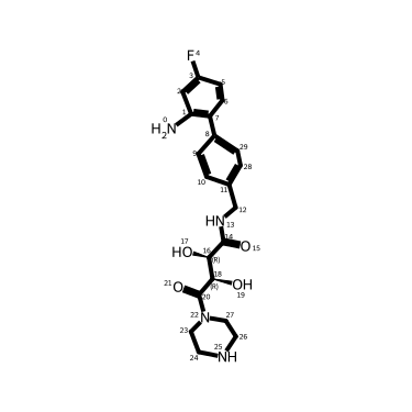 Nc1cc(F)ccc1-c1ccc(CNC(=O)[C@H](O)[C@@H](O)C(=O)N2CCNCC2)cc1